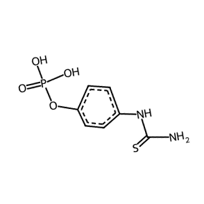 NC(=S)Nc1ccc(OP(=O)(O)O)cc1